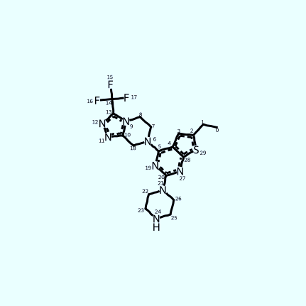 CCc1cc2c(N3CCn4c(nnc4C(F)(F)F)C3)nc(N3CCNCC3)nc2s1